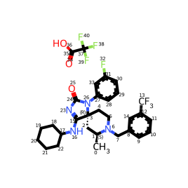 C[C@H]1C[C@]2(CCN1Cc1cccc(C(F)(F)F)c1)C(NC1CCCCC1)=NC(=O)N2c1cccc(F)c1.O=C(O)C(F)(F)F